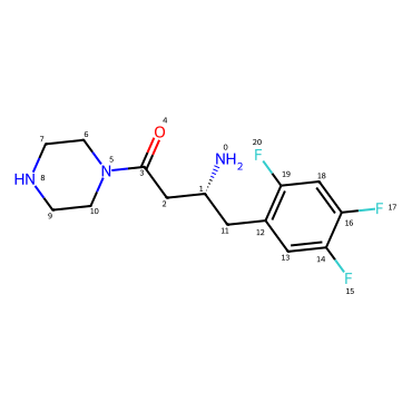 N[C@@H](CC(=O)N1CCNCC1)Cc1cc(F)c(F)cc1F